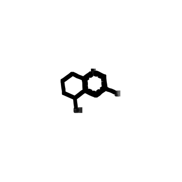 OC1CCCc2ncc(Cl)cc21